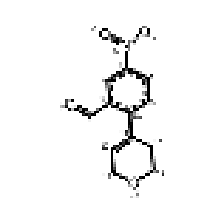 O=Cc1cc([N+](=O)[O-])ccc1C1=CCOCC1